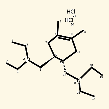 CCN(CC)C[C@H]1CC(C)=C(C)C[C@@H]1CN(CC)CC.Cl.Cl